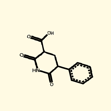 O=C(O)C1CC(c2ccccc2)C(=O)NC1=O